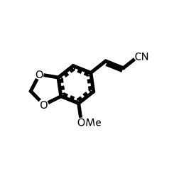 COc1cc(/C=C/C#N)cc2c1OCO2